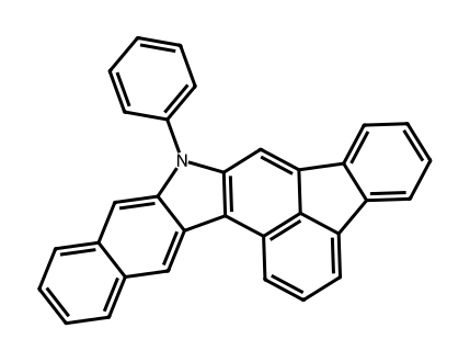 c1ccc(-n2c3cc4ccccc4cc3c3c4cccc5c4c(cc32)-c2ccccc2-5)cc1